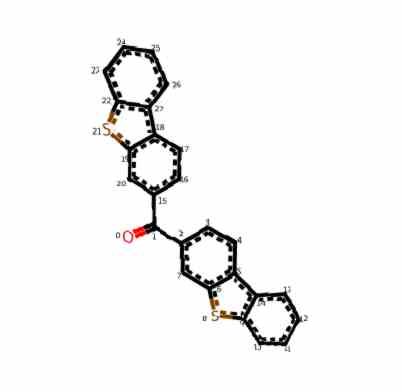 O=C(c1ccc2c(c1)sc1ccccc12)c1ccc2c(c1)sc1ccccc12